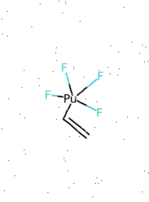 C=[CH][Pu]([F])([F])([F])[F]